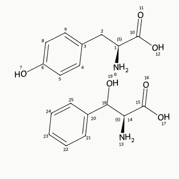 N[C@@H](Cc1ccc(O)cc1)C(=O)O.N[C@H](C(=O)O)C(O)c1ccccc1